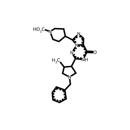 CC1CN(Cc2ccccc2)CC1c1nn2c(C3CCN(C(=O)O)CC3)ncc2c(=O)[nH]1